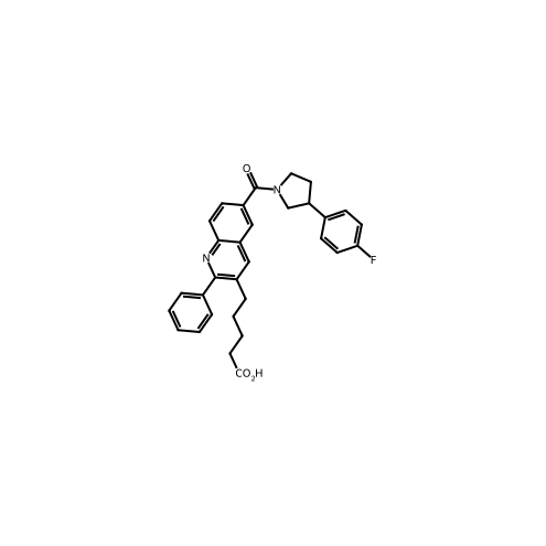 O=C(O)CCCCc1cc2cc(C(=O)N3CCC(c4ccc(F)cc4)C3)ccc2nc1-c1ccccc1